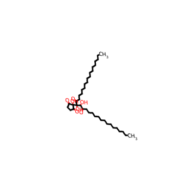 CCCCCCCCCCCCCCCCCC(=O)C(O)(C(O)C(=O)CCCCCCCCCCCCCCC)C1(O)C(=O)CCC1=O